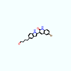 O=CCCCc1ccc2[nH]c(-c3cc4cc(Br)ccc4[nH]c3=O)cc2c1